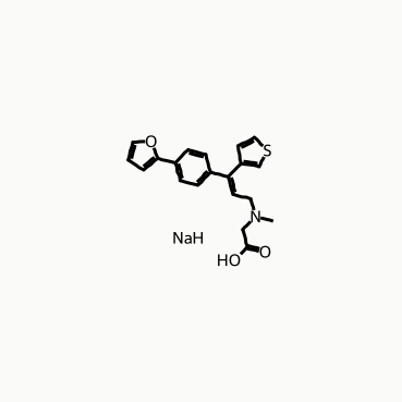 CN(C/C=C(/c1ccc(-c2ccco2)cc1)c1ccsc1)CC(=O)O.[NaH]